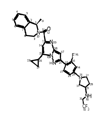 C[C@@H]1c2ccccc2CCN1C(=O)c1cc(C2CC2)n2nc(-c3ccc(N4CCC(NCC(F)(F)F)C4)cc3F)cc2n1